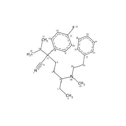 CCC(CCC(C#N)(c1ccc(F)cc1)C(C)C)N(C)CCc1ccccc1